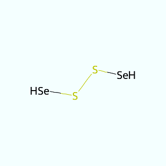 [SeH]SS[SeH]